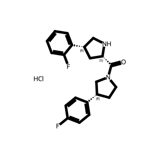 Cl.O=C([C@@H]1C[C@H](c2ccccc2F)CN1)N1CC[C@H](c2ccc(F)cc2)C1